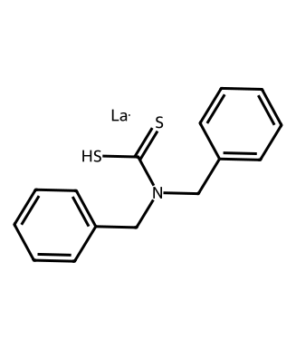 S=C(S)N(Cc1ccccc1)Cc1ccccc1.[La]